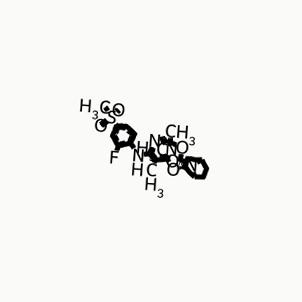 Cc1c(Nc2ccc(S(C)(=O)=O)cc2F)ncnc1O[C@H]1CC2CCC1N2C(=O)OC(C)C